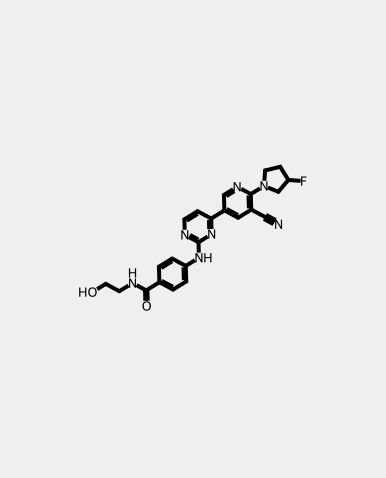 N#Cc1cc(-c2ccnc(Nc3ccc(C(=O)NCCO)cc3)n2)cnc1N1CCC(F)C1